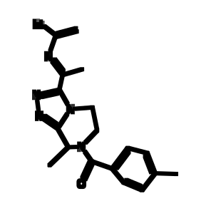 C=C(CC)/N=C(\C)c1nnc2n1CCN(C(=O)c1ccc(C)cc1)C2C